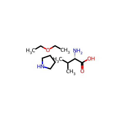 C1CCNC1.CC(C)[C@H](N)C(=O)O.CCOCC